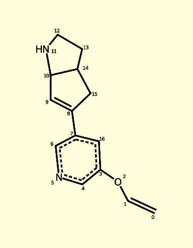 C=COc1cncc(C2=CC3NCCC3C2)c1